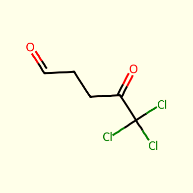 O=CCCC(=O)C(Cl)(Cl)Cl